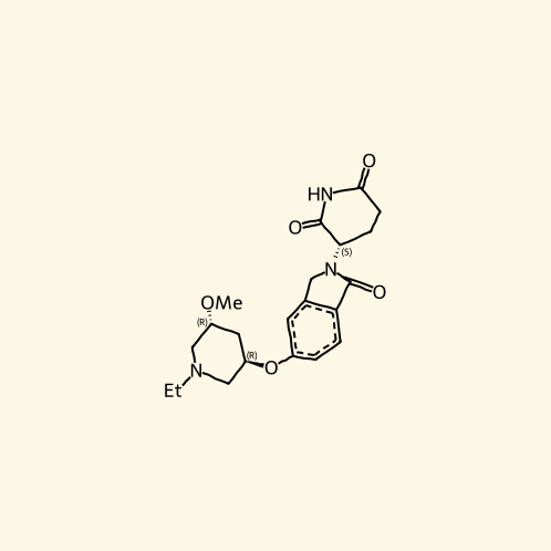 CCN1C[C@H](OC)C[C@@H](Oc2ccc3c(c2)CN([C@H]2CCC(=O)NC2=O)C3=O)C1